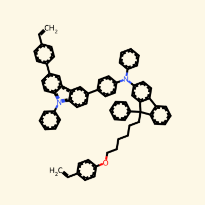 C=Cc1ccc(OCCCCCCC2(c3ccccc3)c3ccccc3-c3ccc(N(c4ccccc4)c4ccc(-c5ccc6c(c5)c5cc(-c7ccc(C=C)cc7)ccc5n6-c5ccccc5)cc4)cc32)cc1